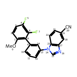 COc1ccc(F)c(F)c1-c1cccc(-n2cnc3cc(C#N)ccc32)c1